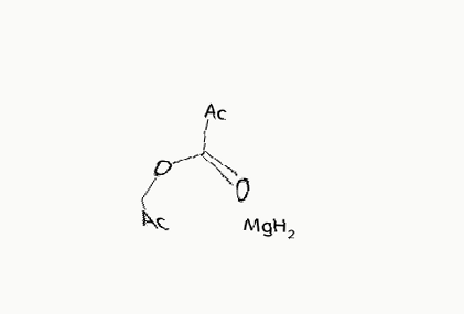 CC(=O)OC(=O)C(C)=O.[MgH2]